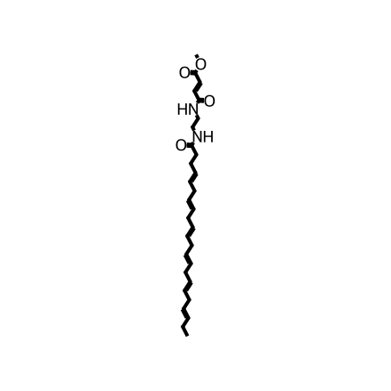 CCC=CCC=CCC=CCC=CCC=CCC=CCCC(=O)NCCNC(=O)C=CC(=O)OC